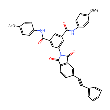 COc1ccc(NC(=O)c2cc(C(=O)Nc3ccc(OC(C)=O)cc3)cc(N3C(=O)c4ccc(C#Cc5ccccc5)cc4C3=O)c2)cc1